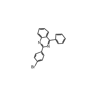 Brc1ccc(-c2nc(-c3ccccc3)c3ccccc3n2)cc1